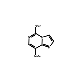 CNc1cnc(NC)n2ccnc12